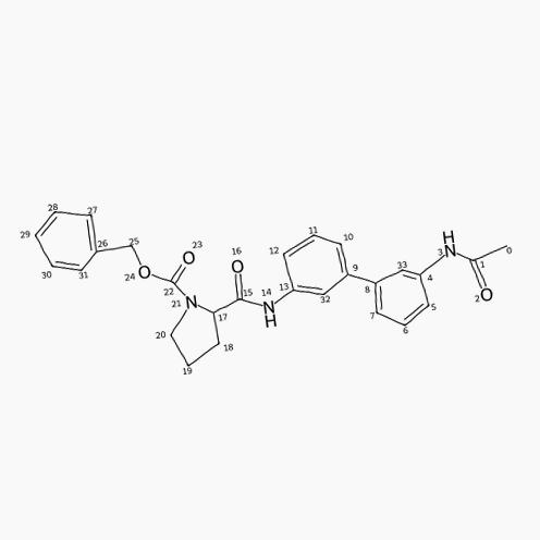 CC(=O)Nc1cccc(-c2cccc(NC(=O)C3CCCN3C(=O)OCc3ccccc3)c2)c1